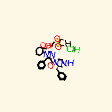 CS(=O)(=O)CCOCC1(O)CCCCC1n1cnc(C(=O)N2CCNC[C@H]2Cc2ccccc2)c1-c1ccccc1.Cl